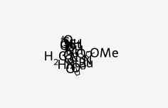 C=C[C@@H]1C[C@]1(NC(=O)[C@@H]1C[C@@H](Oc2cc(-c3ccccc3)nc3cc(OC)ccc23)CN1C(=O)[C@@H](NC(=O)OC1CCCC1)C(C)(C)C)P(=O)(NS(=O)(=O)C1CC1)OCC